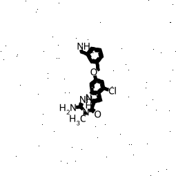 CN(C(=N)N)C(=O)c1cc2c(Cl)cc(OCc3cccc(CN)c3)cc2[nH]1